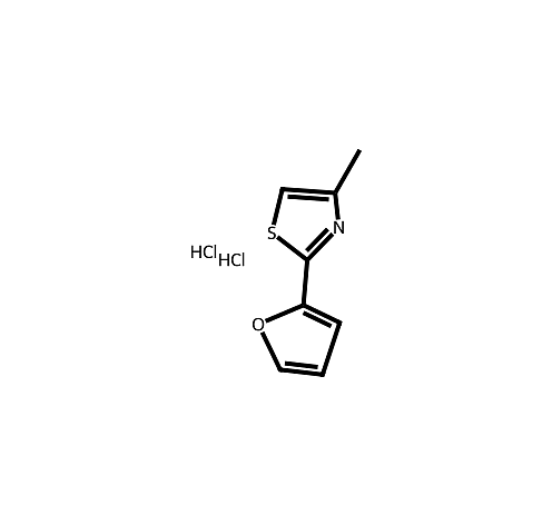 Cc1csc(-c2ccco2)n1.Cl.Cl